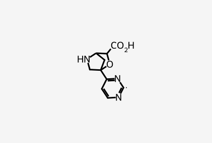 O=C(O)C1OC2(c3ccn[c]n3)CNC1C2